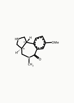 COc1ccc2c(c1)C(=O)N(C)C[C@H]1CNC[C@H]21